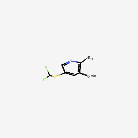 COc1cc(SC(F)F)cnc1[N+](=O)[O-]